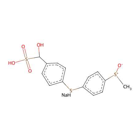 C[S+]([O-])c1ccc(Sc2ccc(C(O)S(=O)(=O)O)cc2)cc1.[NaH]